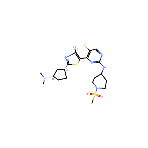 CN(C)[C@H]1CC[C@@H](c2nc(C(F)(F)F)c(-c3nc(NC4CCN(S(C)(=O)=O)CC4)ncc3F)s2)C1